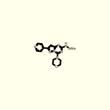 CNNc1nc(N2CCOCC2)n2nc(-c3ccncc3)cc2n1